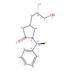 C[C@H](CO)CC1CC(=O)N([C@@H](C)c2ccccc2)C1